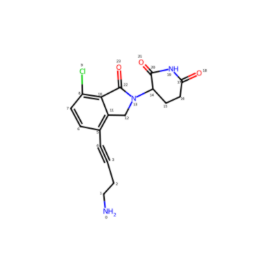 NCCC#Cc1ccc(Cl)c2c1CN(C1CCC(=O)NC1=O)C2=O